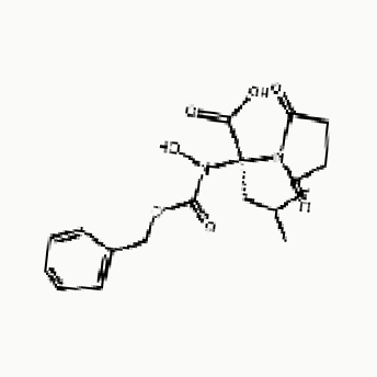 CC(C)C[C@@](C(=O)O)(N(O)C(=O)OCc1ccccc1)N1C(=O)CCC1=O